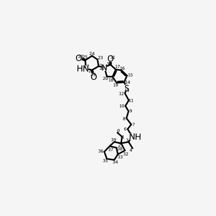 CCC1(C(C)NCCCCCCCSc2ccc3c(c2)CN(C2CCC(=O)NC2=O)C3=O)CC2CCCC(C2)C1